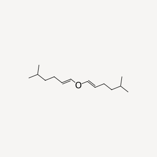 CC(C)CCC=COC=CCCC(C)C